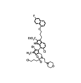 CCOC(=O)c1[nH]c2c(-c3c(CN(CCN4CCOCC4)S(=O)(=O)CCCCl)nn(C)c3CC)c(Cl)ccc2c1CCCOc1cccc2cc(F)ccc12